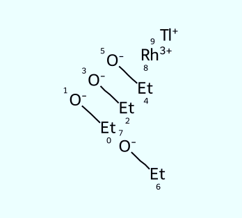 CC[O-].CC[O-].CC[O-].CC[O-].[Rh+3].[Tl+]